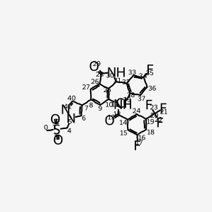 CS(=O)(=O)Cn1cc(-c2cc(NC(=O)c3cc(F)cc(C(F)(F)F)c3)c3c(c2)C(=O)NC3c2cc(F)ccc2Cl)cn1